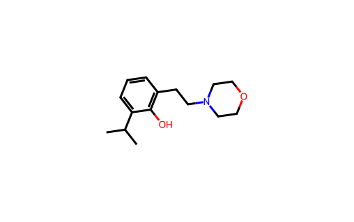 CC(C)c1cccc(CCN2CCOCC2)c1O